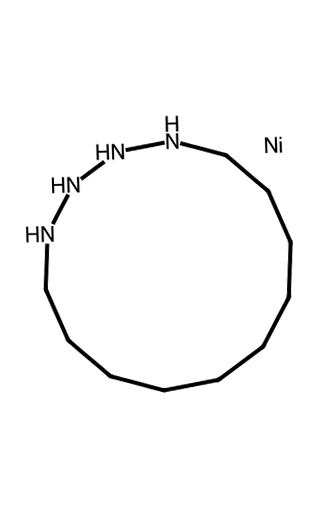 C1CCCCCNNNNCCCC1.[Ni]